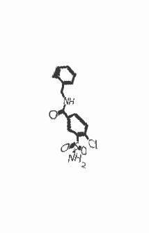 NS(=O)(=O)c1cc(C(=O)NCc2ccccc2)ccc1Cl